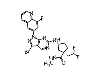 CNC(=O)[C@]1(CC(F)F)CC[C@@H](Nc2ncc3c(Br)nn(-c4cc(F)c5ncccc5c4)c3n2)C1